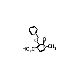 Cn1ccc(C(=O)O)c(OCc2ccccc2)c1=O